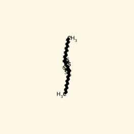 CCCCCCCC/C=C/c1cc2c(s1)sc1c3cc(/C=C/CCCCCCCC)sc3sc21